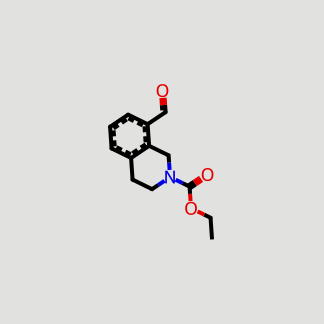 CCOC(=O)N1CCc2cccc(C=O)c2C1